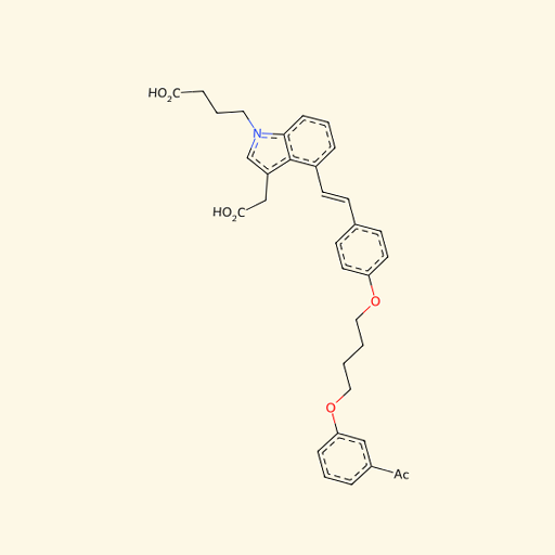 CC(=O)c1cccc(OCCCCOc2ccc(C=Cc3cccc4c3c(CC(=O)O)cn4CCCC(=O)O)cc2)c1